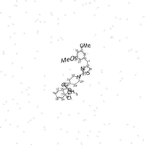 COc1cc(Cc2csc(N3CCC(S(=O)(=O)C4C=CC=CC4(C)Cl)CC3)n2)cc(OC)c1